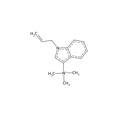 C=CCn1cc([N+](C)(C)C)c2ccccc21